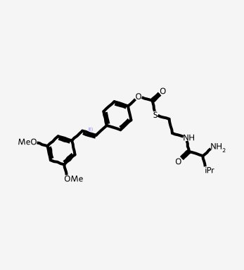 COc1cc(/C=C/c2ccc(OC(=O)SCCNC(=O)C(N)C(C)C)cc2)cc(OC)c1